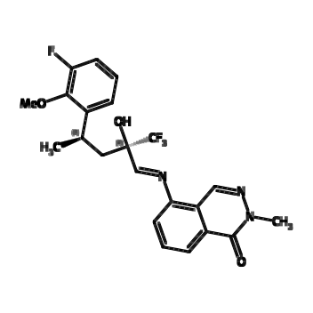 COc1c(F)cccc1[C@H](C)C[C@@](O)(C=Nc1cccc2c(=O)n(C)ncc12)C(F)(F)F